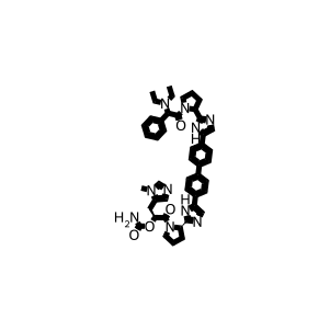 CCN(CC)C(C(=O)N1CCCC1c1ncc(-c2ccc(-c3ccc(-c4cnc([C@@H]5CCCN5C(=O)[C@H](Cc5cncn5C)OC(N)=O)[nH]4)cc3)cc2)[nH]1)c1ccccc1